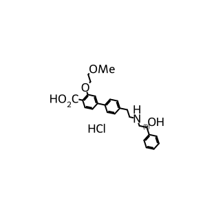 COCCOc1cc(-c2ccc(CCNC[C@H](O)c3ccccc3)cc2)ccc1C(=O)O.Cl